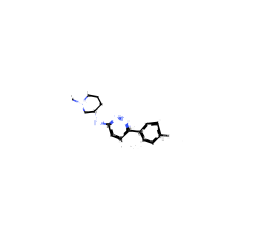 COc1cc(N[C@@H]2CCCN(C)C2)nnc1-c1ccc(C(F)(F)F)cc1